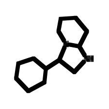 C1CCC(C2CNC3CCCCN32)CC1